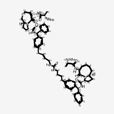 CN[C@@H](C)C(=O)N[C@H]1CCCC[C@H]2CC[C@@H](C(=O)N[C@H](c3ccccc3)c3ccc(CCCCNC(=O)NCCCCc4ccc([C@@H](NC(=O)[C@@H]5CC[C@@H]6CCCC[C@H](NC(=O)[C@H](C)NC)C(=O)N65)c5ccccc5)cc4)cc3)N2C1=O